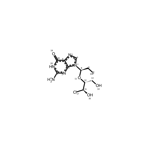 Nc1nc2c(ncn2[C@@H](CF)O[C@H](CO)[C@@H](O)Cl)c(=O)[nH]1